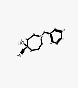 N#CC1(O)CCCN(Cc2ccccc2)CC1